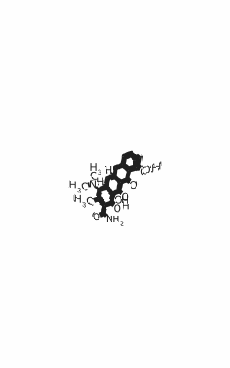 CC1=C(C(N)=O)C(=O)[C@@]2(O)C(O)=C3C(=O)c4c(O)cccc4C[C@H]3C[C@H]2[C@@H]1N(C)C